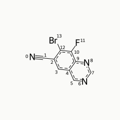 N#Cc1cc2cncnc2c(F)c1Br